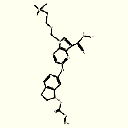 CC(C)NC(=O)c1cn(COCC[Si](C)(C)C)c2ncc(Oc3ccc4c(c3)[C@H](NC(=O)OC(C)(C)C)CC4)nc12